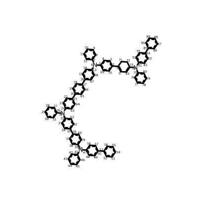 C1=C(c2ccc(N(c3ccccc3)c3ccc(-c4ccc(-c5ccc(N(c6ccccc6)c6ccc(-c7ccc(N(c8ccccc8)c8ccc(-c9ccccc9)cc8)cc7)cc6)cc5)cc4)cc3)cc2)CCC(N(c2ccccc2)c2ccc(-c3ccccc3)cc2)=C1